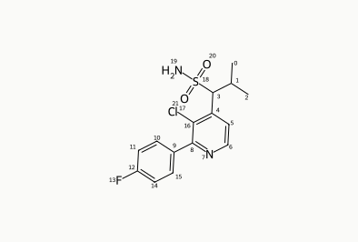 CC(C)C(c1ccnc(-c2ccc(F)cc2)c1Cl)S(N)(=O)=O